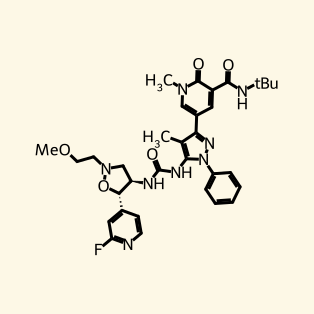 COCCN1C[C@@H](NC(=O)Nc2c(C)c(-c3cc(C(=O)NC(C)(C)C)c(=O)n(C)c3)nn2-c2ccccc2)[C@H](c2ccnc(F)c2)O1